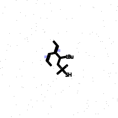 C/C=C\C(=C/C)C(CC(C)(C)S)C(C)(C)C